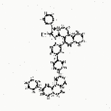 CCc1nc2c3c(-c4cccc(-c5ccc(-c6ccc7ccc8ccc(-c9ccccc9)nc8c7n6)cc5)c4)nc4ccccc4c3ccc2n1-c1ccccc1